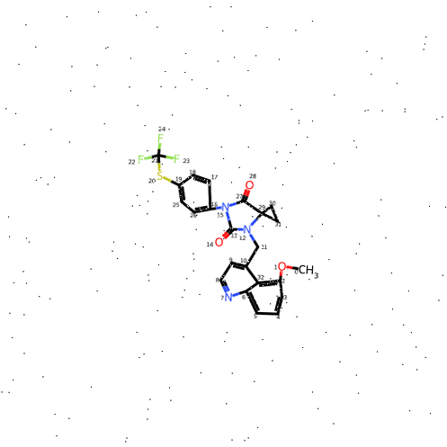 COc1cccc2nccc(CN3C(=O)N(c4ccc(SC(F)(F)F)cc4)C(=O)C34CC4)c12